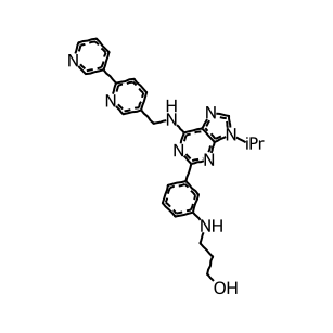 CC(C)n1cnc2c(NCc3ccc(-c4cccnc4)nc3)nc(-c3cccc(NCCCO)c3)nc21